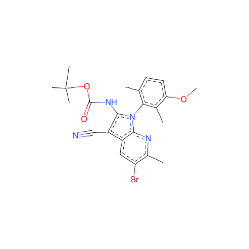 COc1ccc(C)c(-n2c(NC(=O)OC(C)(C)C)c(C#N)c3cc(Br)c(C)nc32)c1C